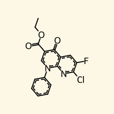 CCOC(=O)c1cn(-c2ccccc2)c2nc(Cl)c(F)cc2c1=O